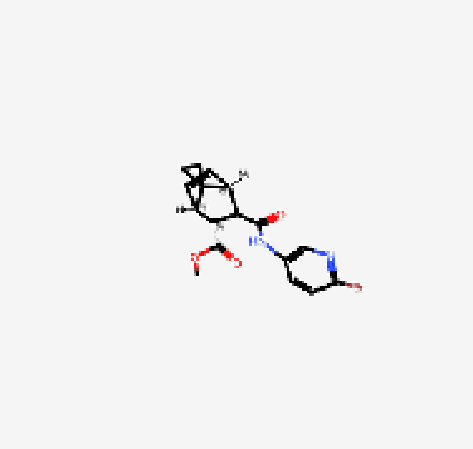 COC(=O)[C@H]1C(C(=O)Nc2ccc(Br)nc2)[C@@H]2C=C[C@H]1C21CC1